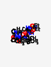 C=C[C@@H]1C[C@]1(NC(=O)[C@@H]1C[C@@]2(CN1C(O)[C@@H](NC(=O)[C@@H](NC(=O)[C@@H]1CCCCN1C(C)C)C1(C)CCCCC1)C(C)(C)C)C(C)(C)C21CCC1)C(=O)NS(=O)(=O)N(CC)CC